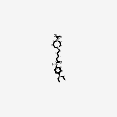 CCN(CC)c1ccc(NC(=O)CCCCN2CCCN(C(C)=O)CC2)cc1